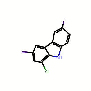 Clc1cc(I)cc2c1[nH]c1ccc(I)cc12